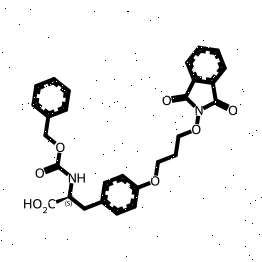 O=C(N[C@@H](Cc1ccc(OCCCON2C(=O)c3ccccc3C2=O)cc1)C(=O)O)OCc1ccccc1